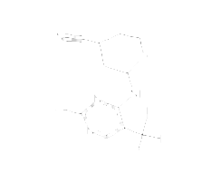 N#CC1CCOC(Nc2nc(Cl)ncc2C(F)(F)F)C1